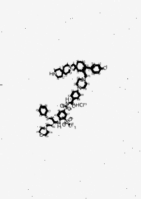 CC1(CN2CCC3(CCNCC3)CC2)CCC(c2ccc(Cl)cc2)=C(CN2CCN(c3ccc(C(=O)NS(=O)(=O)c4ccc(N[C@H](CCN5CCOCC5)CSc5ccccc5)c(S(=O)(=O)C(F)(F)F)c4)cc3)CC2)C1.Cl